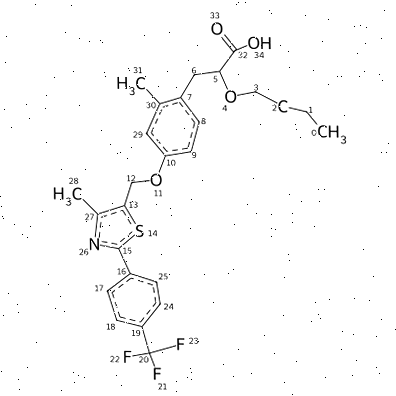 CCCCOC(Cc1ccc(OCc2sc(-c3ccc(C(F)(F)F)cc3)nc2C)cc1C)C(=O)O